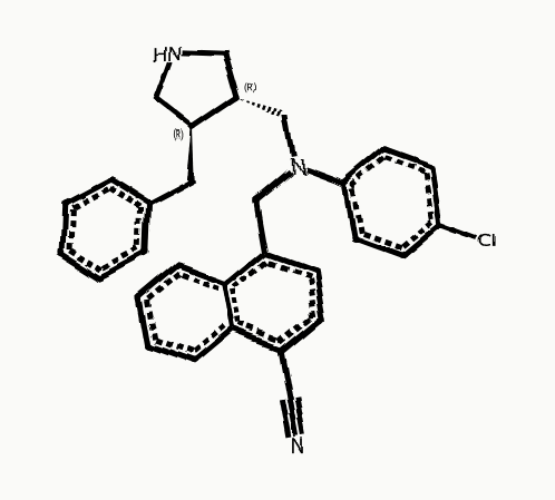 N#Cc1ccc(CN(C[C@H]2CNC[C@@H]2Cc2ccccc2)c2ccc(Cl)cc2)c2ccccc12